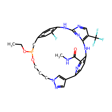 CCOP1Cc2ccc(c(F)c2)Nc2ncc(C(F)(F)F)c(n2)Nc2ccc(nc2C(=O)NC)-c2cnn(c2)CCCO1